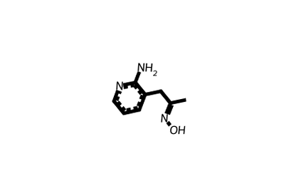 CC(Cc1cccnc1N)=NO